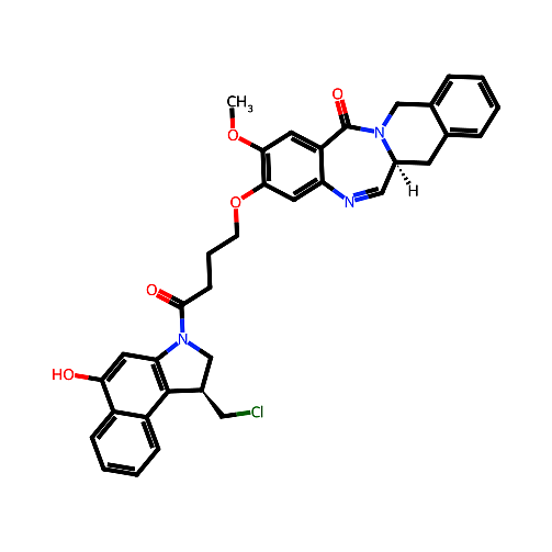 COc1cc2c(cc1OCCCC(=O)N1C[C@@H](CCl)c3c1cc(O)c1ccccc31)N=C[C@@H]1Cc3ccccc3CN1C2=O